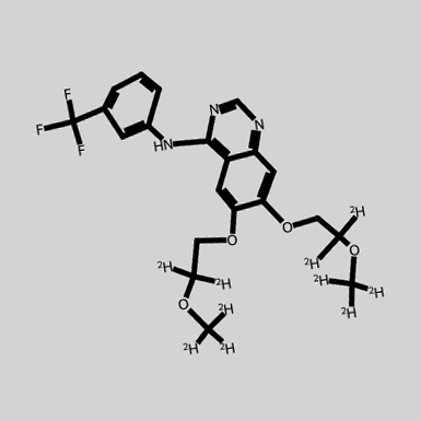 [2H]C([2H])([2H])OC([2H])([2H])COc1cc2ncnc(Nc3cccc(C(F)(F)F)c3)c2cc1OCC([2H])([2H])OC([2H])([2H])[2H]